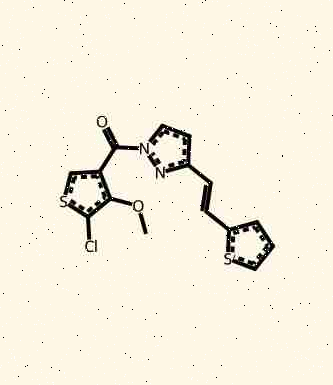 COc1c(C(=O)n2ccc(C=Cc3cccs3)n2)csc1Cl